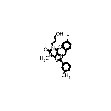 Cc1cccc(-c2nc3c(c(=O)n(CCCO)c(=O)n3C)n2Cc2ccc(F)cc2)c1